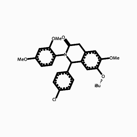 CC[C@@H](C)Oc1cc2c(cc1OC)CC(=O)N(c1ccc(OC)cc1OC)C2c1ccc(Cl)cc1